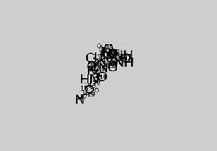 C[C@@H]1CN2c3c(nc4c(C(=O)NCc5ccc(C#N)cc5)noc4c3Cl)CC3(C(=O)NC(=O)NC3=O)[C@H]2[C@H](C)O1